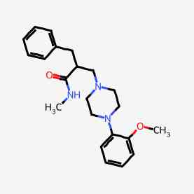 CNC(=O)C(Cc1ccccc1)CN1CCN(c2ccccc2OC)CC1